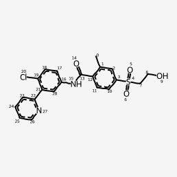 Cc1cc(S(=O)(=O)CCO)ccc1C(=O)Nc1ccc(Cl)c(-c2ccccn2)c1